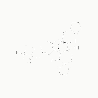 O=S(=O)(Oc1ccc2c3c1OC1C4(CCC5(O)[C@@H](C2)N(CC2CCCO2)CC[C@]315)OCCO4)C(F)(F)F